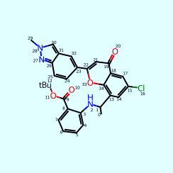 CC(Nc1ccccc1C(=O)OC(C)(C)C)c1cc(Cl)cc2c(=O)cc(-c3ccc4nn(C)cc4c3)oc12